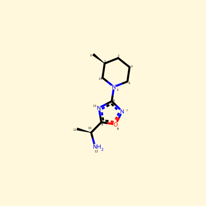 C[C@H]1CCCN(c2noc([C@H](C)N)n2)C1